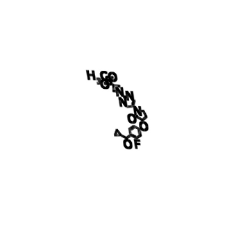 CS(=O)(=O)C1CN(c2ncc(N3CC[C@@H](Oc4ccc(C(=O)C5CC5)c(F)c4)C3=O)cn2)C1